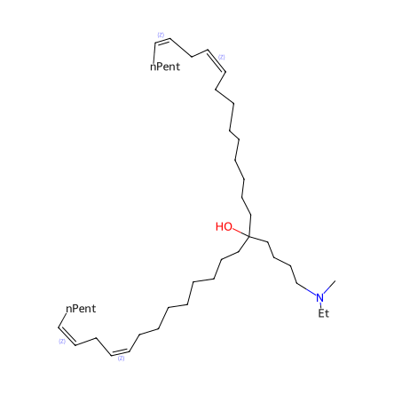 CCCCC/C=C\C/C=C\CCCCCCCCC(O)(CCCCCCCC/C=C\C/C=C\CCCCC)CCCCN(C)CC